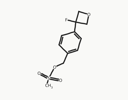 CS(=O)(=O)OCc1ccc(C2(F)COC2)cc1